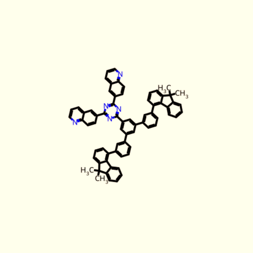 CC1(C)c2ccccc2-c2c(-c3cccc(-c4cc(-c5cccc(-c6cccc7c6-c6ccccc6C7(C)C)c5)cc(-c5nc(-c6ccc7ncccc7c6)nc(-c6ccc7ncccc7c6)n5)c4)c3)cccc21